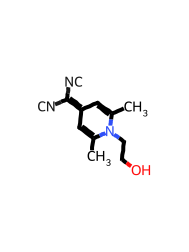 [C-]#[N+]C([N+]#[C-])=C1C=C(C)N(CCO)C(C)=C1